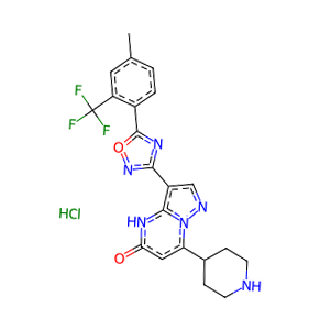 Cc1ccc(-c2nc(-c3cnn4c(C5CCNCC5)cc(=O)[nH]c34)no2)c(C(F)(F)F)c1.Cl